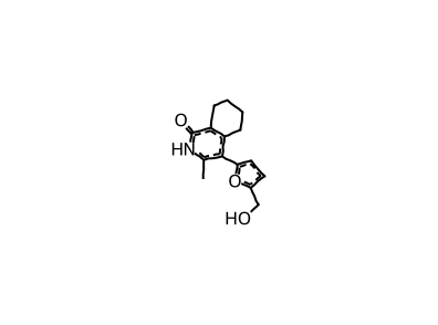 Cc1[nH]c(=O)c2c(c1-c1ccc(CO)o1)CCCC2